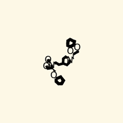 O=C1OC[C@H](COc2ccccc2)N1CCC1CCN(C[C@H]2COc3ccccc3O2)CC1